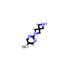 N#Cc1cnc(N2CC3(CNC3)C2)nc1